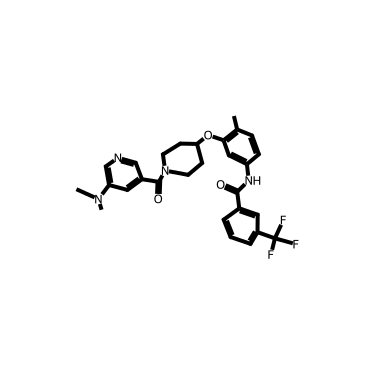 Cc1ccc(NC(=O)c2cccc(C(F)(F)F)c2)cc1OC1CCN(C(=O)c2cncc(N(C)C)c2)CC1